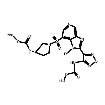 CCn1c(-c2nonc2NC(=O)OC(C)(C)C)nc2cncc(S(=O)(=O)N3CC[C@H](NC(=O)OC(C)(C)C)C3)c21